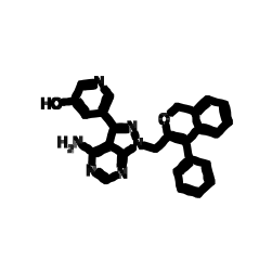 Nc1ncnc2c1c(-c1cncc(O)c1)nn2CC1=C(c2ccccc2)c2ccccc2CO1